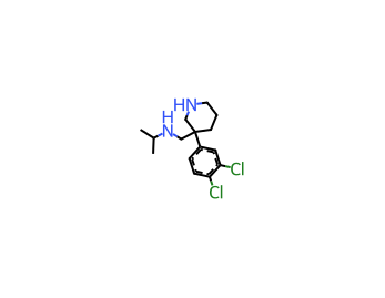 CC(C)NCC1(c2ccc(Cl)c(Cl)c2)CCCNC1